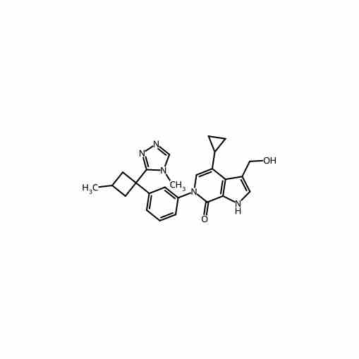 CC1CC(c2cccc(-n3cc(C4CC4)c4c(CO)c[nH]c4c3=O)c2)(c2nncn2C)C1